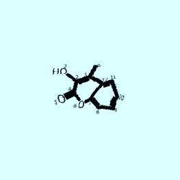 Cc1c(O)c(=O)oc2ccccc12